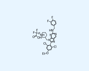 CCOc1cc(Cl)c(-c2nc3cnc(NCc4ccc(F)c(F)c4)nc3n2CC2CCCNC2)c(Cl)c1.O=C(O)C(F)(F)F